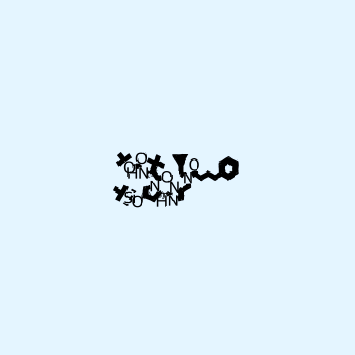 CC(C)(C)OC(=O)N[C@H](C(=O)N1C[C@H](O[Si](C)(C)C(C)(C)C)C[C@H]1c1nc(CN(CC2CC2)C(=O)CCCc2ccccc2)c[nH]1)C(C)(C)C